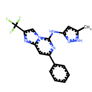 Cc1cc(Nc2nc(-c3ccccc3)cc3nc(C(F)(F)F)cn23)n[nH]1